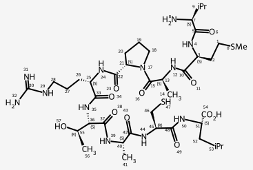 CSCC[C@H](NC(=O)[C@@H](N)C(C)C)C(=O)N[C@@H](C)C(=O)N1CCC[C@H]1C(=O)N[C@@H](CCCNC(=N)N)C(=O)N[C@H](C(=O)N[C@@H](C)C(=O)N[C@@H](CS)C(=O)N[C@@H](CC(C)C)C(=O)O)[C@@H](C)O